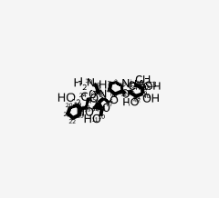 CC(=O)NC1CCC[C@@H](O[C@@H]2OC3(CO)[C@H](O)C3(O[C@@H](CC3CCCCC3)C(=O)O)C2NC(=O)CN)C1O[C@@H]1OC(C)[C@@H](O)C(O)C1O